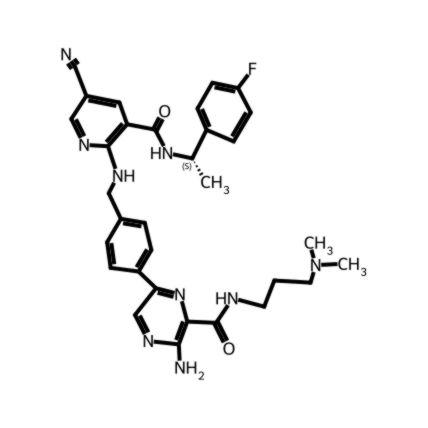 C[C@H](NC(=O)c1cc(C#N)cnc1NCc1ccc(-c2cnc(N)c(C(=O)NCCCN(C)C)n2)cc1)c1ccc(F)cc1